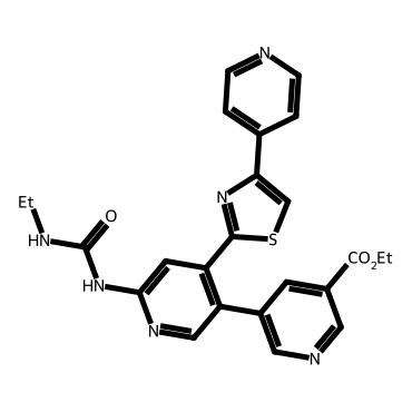 CCNC(=O)Nc1cc(-c2nc(-c3ccncc3)cs2)c(-c2cncc(C(=O)OCC)c2)cn1